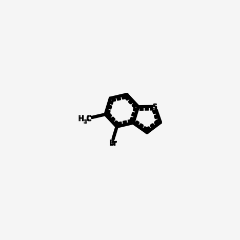 Cc1ccc2sccc2c1Br